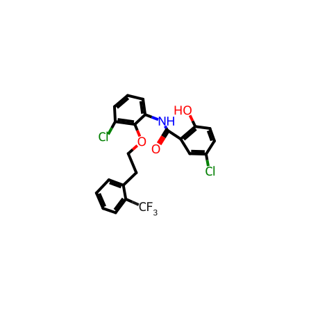 O=C(Nc1cccc(Cl)c1OCCc1ccccc1C(F)(F)F)c1cc(Cl)ccc1O